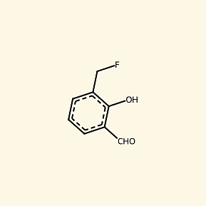 O=Cc1cccc(CF)c1O